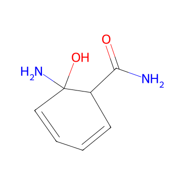 NC(=O)C1C=CC=CC1(N)O